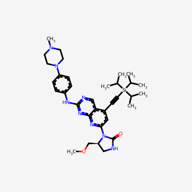 COC[C@@H]1CNC(=O)N1c1cc(C#C[Si](C(C)C)(C(C)C)C(C)C)c2cnc(Nc3ccc(N4CCN(C)CC4)cc3)nc2n1